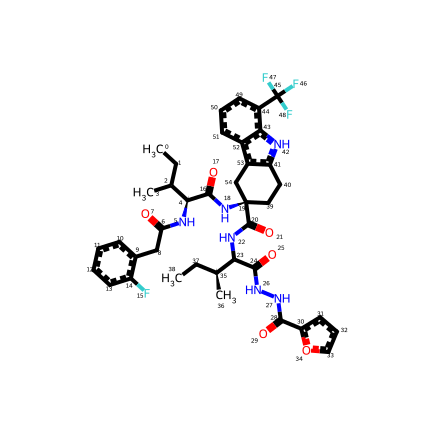 CCC(C)[C@H](NC(=O)Cc1ccccc1F)C(=O)N[C@]1(C(=O)NC(C(=O)NNC(=O)c2ccco2)[C@@H](C)CC)CCc2[nH]c3c(C(F)(F)F)cccc3c2C1